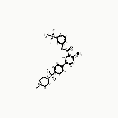 CN1CCN(S(=O)(=O)c2ccc(-c3cnc(N)c(C(=O)Nc4cccc(S(N)(=O)=O)c4)n3)cc2)CC1